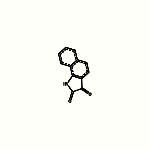 O=C1Nc2c(ccc3ccccc23)C1=O